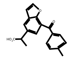 Cc1ccc(C(=O)c2cc(C(C)C(=O)O)cc3ccoc23)cc1